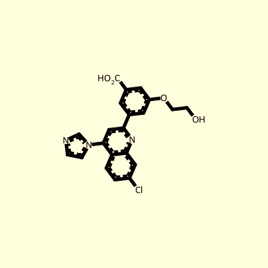 O=C(O)c1cc(OCCO)cc(-c2cc(-n3ccnc3)c3ccc(Cl)cc3n2)c1